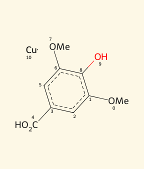 COc1cc(C(=O)O)cc(OC)c1O.[Cu]